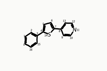 c1ccc(-c2ccc(-c3ccncc3)s2)cc1